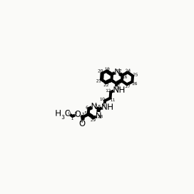 CCOC(=O)c1cnc(NCCCNc2c3c(nc4ccccc24)CCCC3)nc1